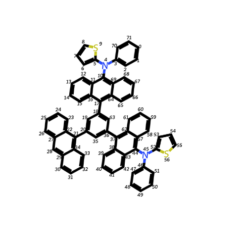 c1ccc(N(c2cccs2)c2c3ccccc3c(-c3cc(-c4c5ccccc5cc5ccccc45)cc(-c4c5ccccc5c(N(c5ccccc5)c5cccs5)c5ccccc45)c3)c3ccccc23)cc1